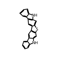 c1ccc2c(c1)[nH]c1cc3sc4cc5[nH]c6ccccc6c5cc4c3cc12